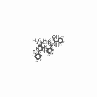 C=C(C)c1cnc(-c2ccccc2F)cc1Nc1ccncc1C(=O)NC(C1CCCC1)[C@H](C)O